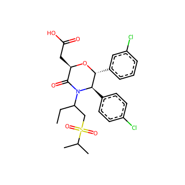 CCC(CS(=O)(=O)C(C)C)N1C(=O)[C@@H](CC(=O)O)O[C@H](c2cccc(Cl)c2)[C@H]1c1ccc(Cl)cc1